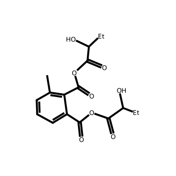 CCC(O)C(=O)OC(=O)c1cccc(C)c1C(=O)OC(=O)C(O)CC